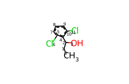 CCC(O)c1c(Cl)cccc1Cl